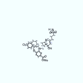 COC(=O)c1ccc2c(c1)N(C[C@@H]1CC[C@H]1[C@@H](O)/C=C(\Br)CCCS(N)(=O)=O)CC1(CCCc3cc(Cl)ccc31)CO2